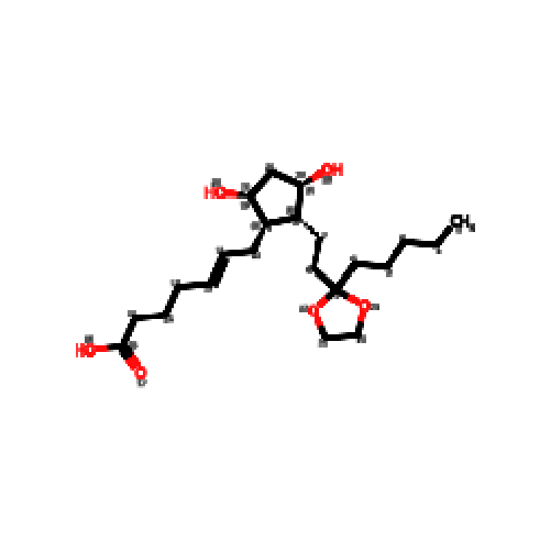 CCCCCC1(CC[C@@H]2[C@@H](CC=CCCCC(=O)O)[C@@H](O)C[C@H]2O)OCCO1